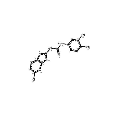 N#Cc1ccc(NC(=O)Nc2nc3ccc(Cl)nc3s2)cc1C#N